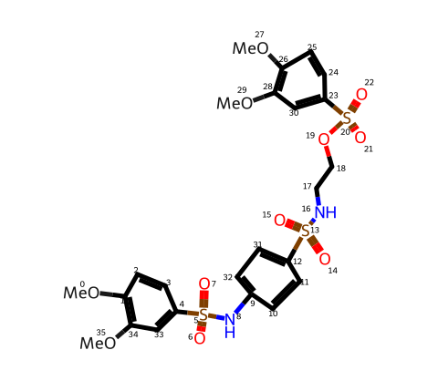 COc1ccc(S(=O)(=O)Nc2ccc(S(=O)(=O)NCCOS(=O)(=O)c3ccc(OC)c(OC)c3)cc2)cc1OC